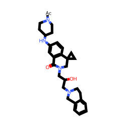 CC(=O)N1CCC(Nc2ccc3c(c2)C(=O)N(CC(O)CN2CCc4ccccc4C2)CC32CC2)CC1